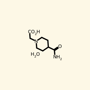 NC(=O)C1CCN(CC(=O)O)CC1.O